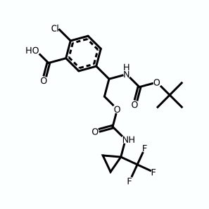 CC(C)(C)OC(=O)NC(COC(=O)NC1(C(F)(F)F)CC1)c1ccc(Cl)c(C(=O)O)c1